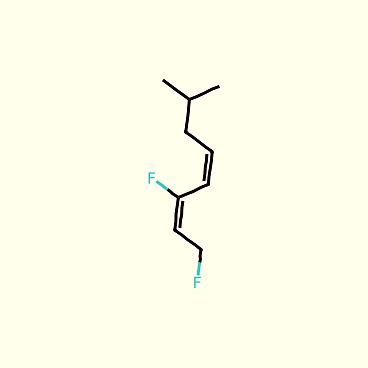 CC(C)C/C=C\C(F)=C/CF